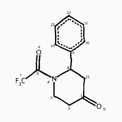 O=C1CCN(C(=O)C(F)(F)F)C(c2ccccc2)C1